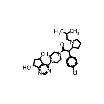 CC(C)CN1CCCC1C(C(=O)N1CCN(c2ncnc3c2[C@H](C)C[C@H]3O)CC1)c1ccc(Cl)cc1